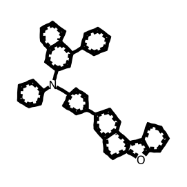 c1ccc(-c2cc(N(c3ccccc3)c3ccc(-c4ccc5c(ccc6oc7ccccc7c65)c4)cc3)cc3ccccc23)cc1